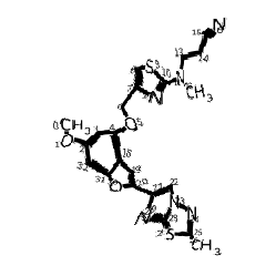 COc1cc(OCc2csc(N(C)CCC#N)n2)c2cc(-c3cn4nc(C)sc4n3)oc2c1